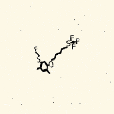 Cc1cc(C)c(SCCF)cc1OCCCCCCSC(F)(F)F